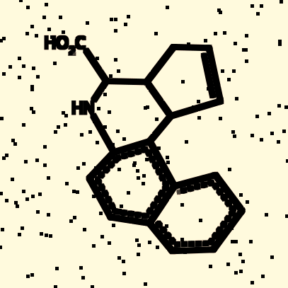 O=C(O)C1Nc2ccc3ccccc3c2C2C=CCC12